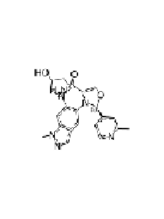 Cc1cc([C@@H]2OC=C(C(N)=O)N2c2cc3cnn(C)c3cc2N2CCC(O)C2)ccn1